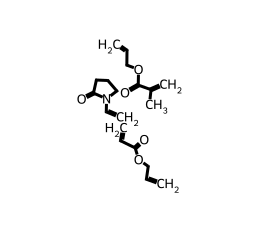 C=CCOC(=O)C(=C)C.C=CCOC(=O)C=C.C=CN1CCCC1=O